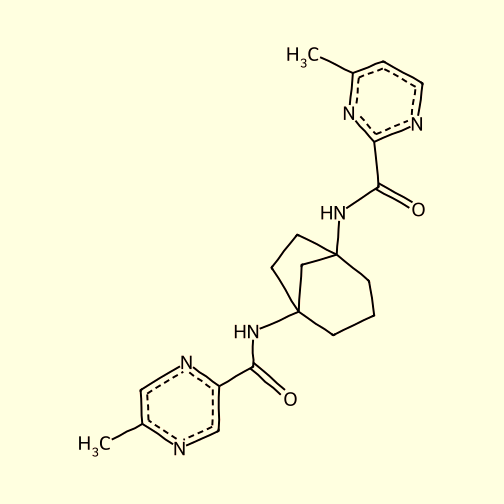 Cc1cnc(C(=O)NC23CCCC(NC(=O)c4nccc(C)n4)(CC2)C3)cn1